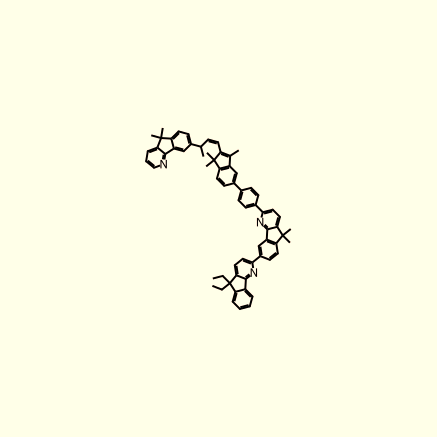 CCC1(CC)c2ccccc2-c2nc(-c3ccc4c(c3)-c3nc(-c5ccc(-c6ccc7c(c6)C(C)=C(/C=C\C(C)c6ccc8c(c6)-c6ncccc6C8(C)C)C7(C)C)cc5)ccc3C4(C)C)ccc21